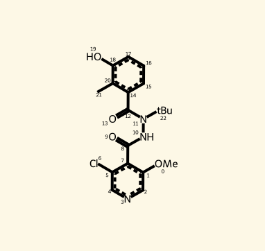 COc1cncc(Cl)c1C(=O)NN(C(=O)c1cccc(O)c1C)C(C)(C)C